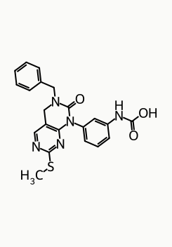 CSc1ncc2c(n1)N(c1cccc(NC(=O)O)c1)C(=O)N(Cc1ccccc1)C2